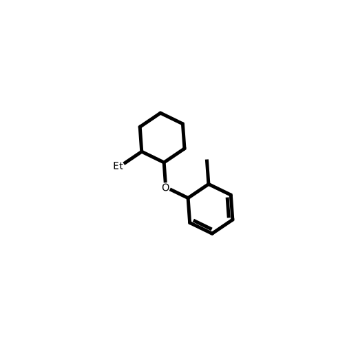 CCC1CCCCC1OC1C=CC=CC1C